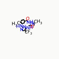 Cc1ccc(C(N)=O)cc1Nc1ncc(C(F)(F)F)c(NCC2=NC(C)CO2)n1